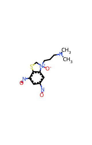 CN(C)CCC[N+]1([O-])CSc2c(N=O)cc(N=O)cc21